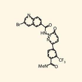 CNC(=O)c1ccc(-c2ccc(=O)n(NC(=O)c3ccc4ncc(Br)cc4c3)n2)cc1C(F)(F)F